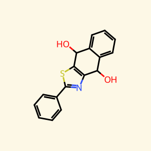 OC1c2ccccc2C(O)c2sc(-c3ccccc3)nc21